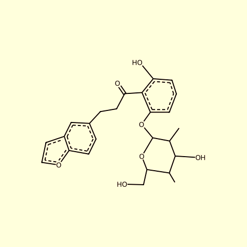 CC1C(CO)OC(Oc2cccc(O)c2C(=O)CCc2ccc3occc3c2)C(C)C1O